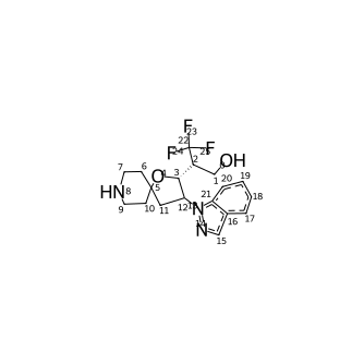 OCC([C@H]1OC2(CCNCC2)CC1n1ncc2ccccc21)C(F)(F)F